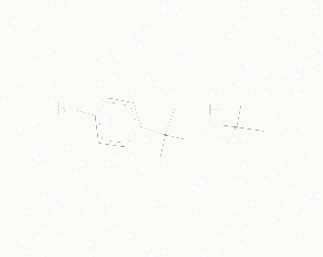 CC(C)(C)[SiH2]OC(C)(C)c1ccc(Br)cc1